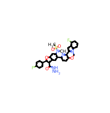 CN(c1cc2oc(-c3ccc(F)cc3)c(C(=O)NN)c2cc1-c1ccc2c(n1)-c1cc3c(F)cccc3n1CO2)S(C)(=O)=O